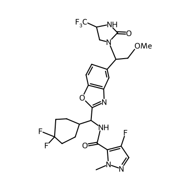 COCC(c1ccc2oc(C(NC(=O)c3c(F)cnn3C)C3CCC(F)(F)CC3)nc2c1)N1CC(C(F)(F)F)NC1=O